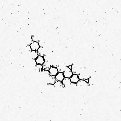 CCn1c(=O)c(-c2ccc(C3CC3)cc2C2CC2)cc2cnc(Nc3ccc(N4CCN(C)CC4)cc3)nc21